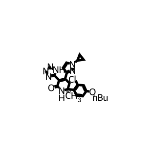 CCCCOc1ccc([C@]2(C)CC(c3ccn(C4CC4)n3)=C(c3nnn[nH]3)C(=O)N2)c(Cl)c1